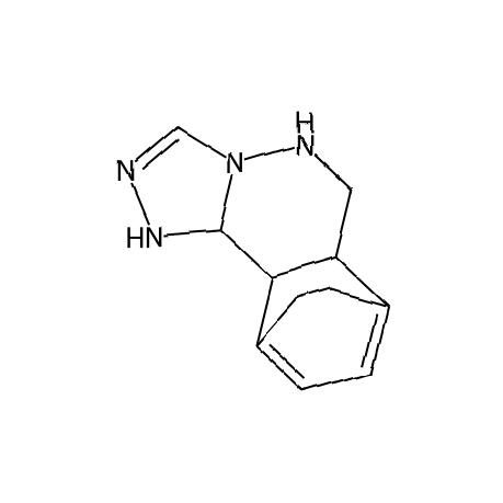 C1=NNC2C3C4=CC=C(CC4)C3CNN12